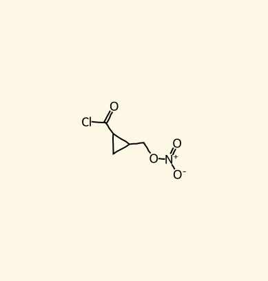 O=C(Cl)C1CC1CO[N+](=O)[O-]